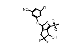 CS(=O)(=O)c1sc(Oc2cc(Cl)cc(C#N)c2)c2c1C(O)C(F)(F)C2